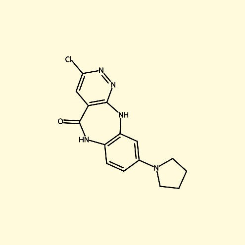 O=C1Nc2ccc(N3CCCC3)cc2Nc2nnc(Cl)cc21